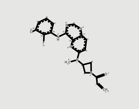 C=CC(=O)N1CC(N(C)c2ccc3ncnc(Nc4cccc(Cl)c4F)c3n2)C1